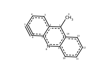 Cc1c2ccc#cc2nc2ccccc12